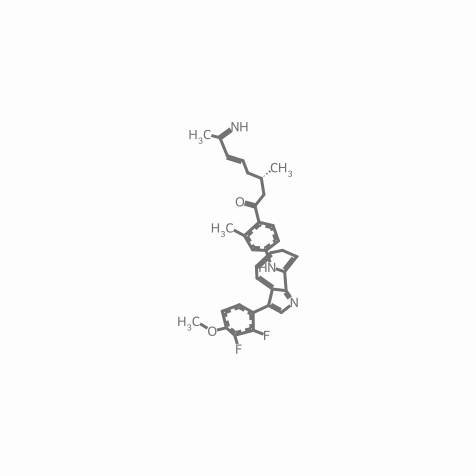 COc1ccc(C2=CN=C3/C(Nc4ccc(C(=O)C[C@@H](C)C/C=C/C(C)=N)c(C)c4)=C/C/C=C\C=C\23)c(F)c1F